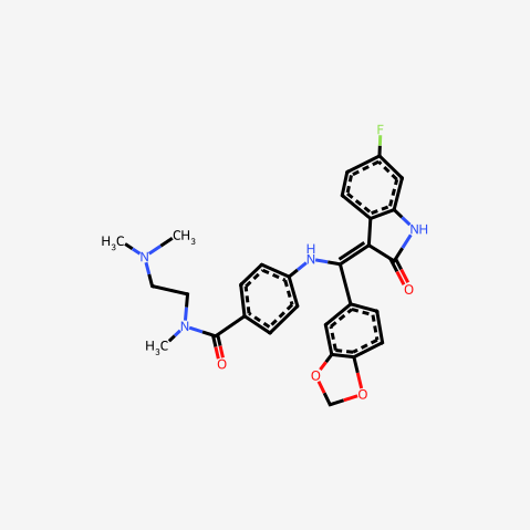 CN(C)CCN(C)C(=O)c1ccc(NC(=C2C(=O)Nc3cc(F)ccc32)c2ccc3c(c2)OCO3)cc1